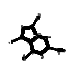 CSc1nc(Cl)c2c(F)cc(Br)n2n1